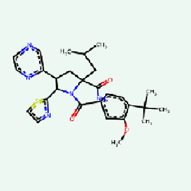 COc1cc(C(=O)N2C(c3nccs3)C(c3cnccn3)CC2(CC(C)C)C(N)=O)ccc1C(C)(C)C